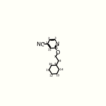 N#Cc1ccnc(OCCC2CCCCC2)c1